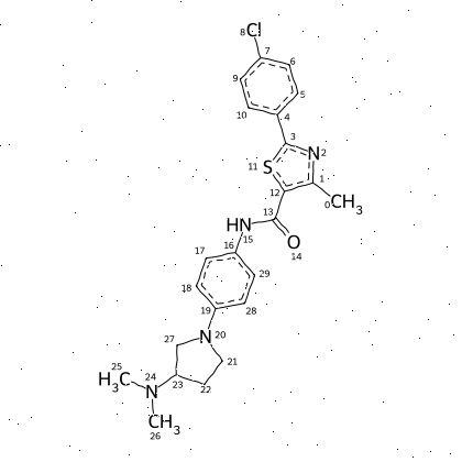 Cc1nc(-c2ccc(Cl)cc2)sc1C(=O)Nc1ccc(N2CCC(N(C)C)C2)cc1